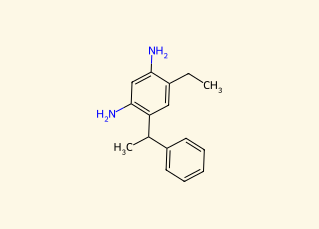 CCc1cc(C(C)c2ccccc2)c(N)cc1N